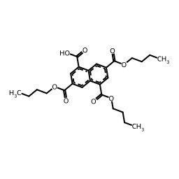 CCCCOC(=O)c1cc(C(=O)OCCCC)c2cc(C(=O)OCCCC)cc(C(=O)O)c2c1